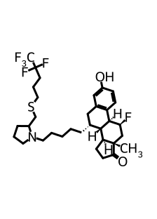 C[C@]12C[C@H](F)[C@@H]3c4ccc(O)cc4C[C@@H](CCCCCN4CCCC4CSCCCC(F)(F)C(F)(F)F)[C@H]3[C@@H]1CCC2=O